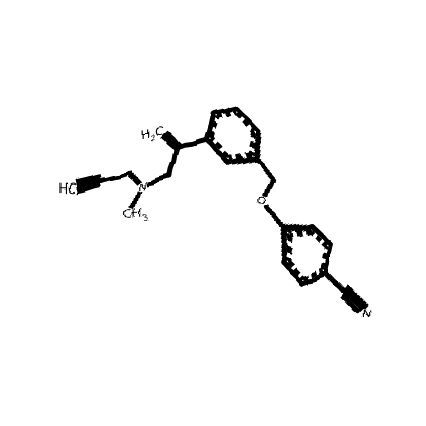 C#CCN(C)CC(=C)c1cccc(COc2ccc(C#N)cc2)c1